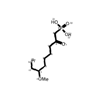 COC(CCCCC(=O)CP(=O)(O)O)CC(C)C